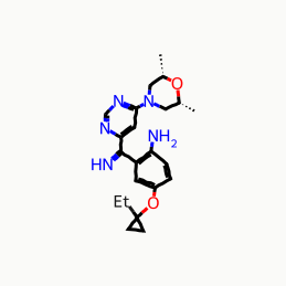 CCC1(Oc2ccc(N)c(C(=N)c3cc(N4C[C@@H](C)O[C@@H](C)C4)ncn3)c2)CC1